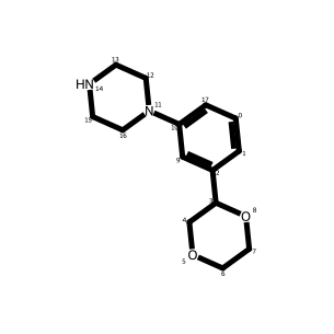 c1cc(C2COCCO2)cc(N2CCNCC2)c1